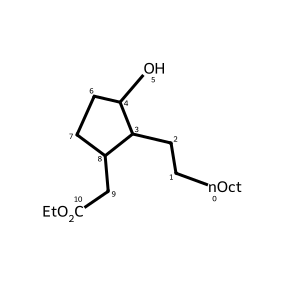 CCCCCCCCCCC1C(O)CCC1CC(=O)OCC